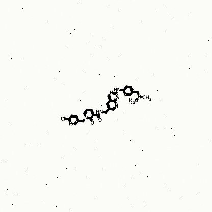 CN(C)Cc1ccc(Nc2ncc3cc(CNC(=O)c4cccn(Cc5ccc(Cl)nc5)c4=O)cnc3n2)cc1